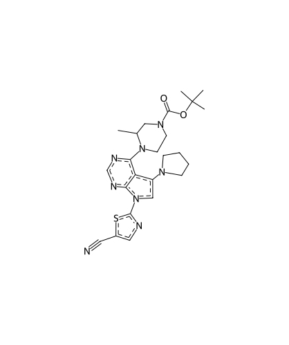 CC1CN(C(=O)OC(C)(C)C)CCN1c1ncnc2c1c(N1CCCC1)cn2-c1ncc(C#N)s1